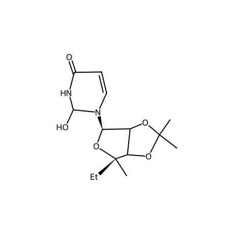 CC[C@@]1(C)O[C@@H](N2C=CC(=O)NC2O)C2OC(C)(C)OC21